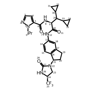 CC(C)n1nccc1C(=O)N[C@H](C(=O)Nc1ccc2c(c1)CC[C@H]2N1C[C@@H](C(F)(F)F)NC1=O)C(C1CC1)C1CC1